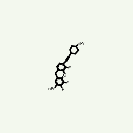 CCCc1cc2c(c(F)c1F)Oc1c(ccc(C#CC3CCC(CCC)CC3)c1F)C2